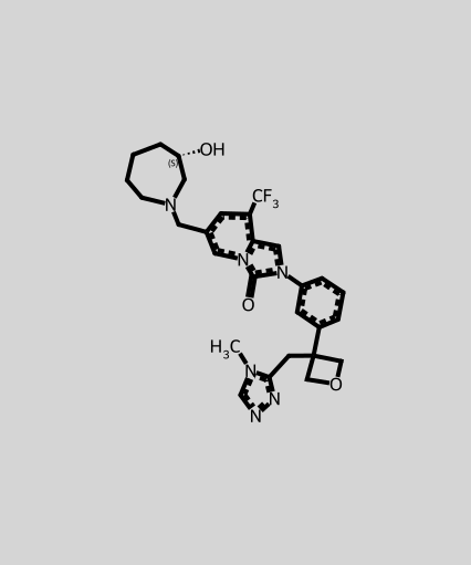 Cn1cnnc1CC1(c2cccc(-n3cc4c(C(F)(F)F)cc(CN5CCCC[C@H](O)C5)cn4c3=O)c2)COC1